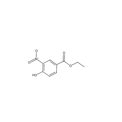 CCOC(=O)c1ccc(O)c([N+](=O)[O-])c1